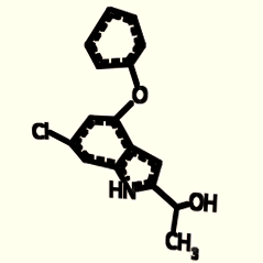 CC(O)c1cc2c(Oc3ccccc3)cc(Cl)cc2[nH]1